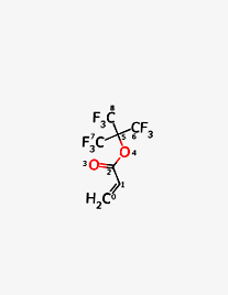 C=CC(=O)OC(C(F)(F)F)(C(F)(F)F)C(F)(F)F